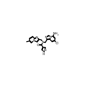 Cc1ccc2nc(CN(Cc3ncn4c(N)cc(Cl)cc34)C(=O)c3cn[nH]c3)cn2c1